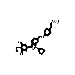 C[C@@H](CC(=O)O)c1ccc(OCc2ccc3c(-c4cc(Cl)c(CO)c(Cl)c4)nn(C4CCCC4)c3c2)cc1